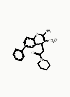 CCOC(=O)C1=C(N)Oc2ccc(-c3ccccc3)cc2C1CC(=O)N1CCCCC1